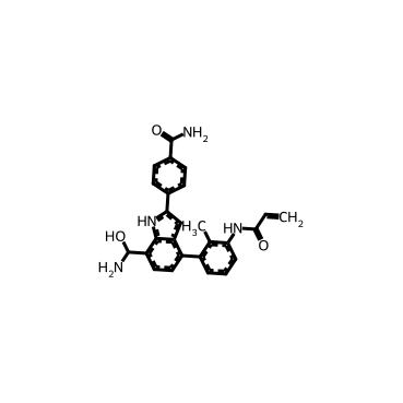 C=CC(=O)Nc1cccc(-c2ccc(C(N)O)c3[nH]c(-c4ccc(C(N)=O)cc4)cc23)c1C